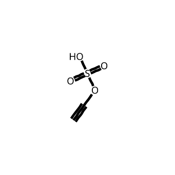 C#COS(=O)(=O)O